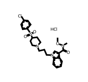 CON(C)C(=O)c1cn(CCCN2CCC(S(=O)(=O)c3ccc(Cl)cc3)CC2)c2ccccc12.Cl